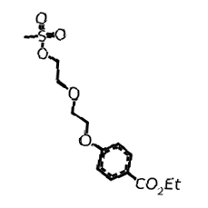 CCOC(=O)c1ccc(OCCOCCOS(C)(=O)=O)cc1